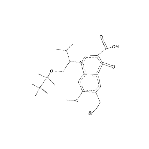 COc1cc2c(cc1CBr)c(=O)c(C(=O)O)cn2C(CO[Si](C)(C)C(C)(C)C)C(C)C